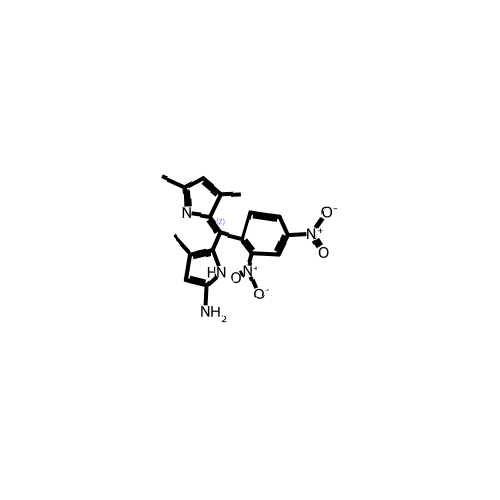 CC1=CC(C)=N/C1=C(/c1ccc([N+](=O)[O-])cc1[N+](=O)[O-])c1[nH]c(N)cc1C